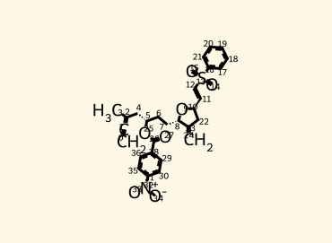 C=C=C(C)C[C@H](CC[C@@H]1O[C@@H](/C=C/S(=O)(=O)c2ccccc2)CC1=C)OC(=O)c1ccc([N+](=O)[O-])cc1